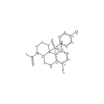 CC(=O)N1CCCC2(S(=O)(=O)c3ccc(Cl)cc3)c3c(F)ccc(F)c3OCC12